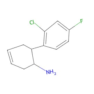 NC1CC=CCC1c1ccc(F)cc1Cl